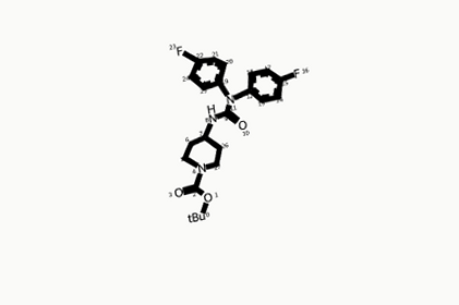 CC(C)(C)OC(=O)N1CCC(NC(=O)N(c2ccc(F)cc2)c2ccc(F)cc2)CC1